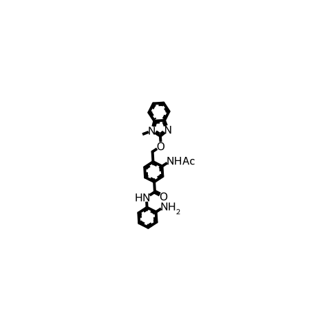 CC(=O)Nc1cc(C(=O)Nc2ccccc2N)ccc1COc1nc2ccccc2n1C